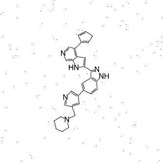 C1=CC(c2cncc3[nH]c(-c4n[nH]c5ccc(-c6cncc(CN7CCCCC7)c6)cc45)cc23)=CC1